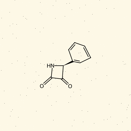 O=C1N[C@@H](c2ccccc2)C1=O